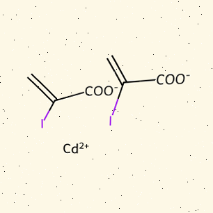 C=C(I)C(=O)[O-].C=C(I)C(=O)[O-].[Cd+2]